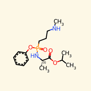 CNCCCP(=O)(N[C@@H](C)C(=O)OC(C)C)Oc1ccccc1